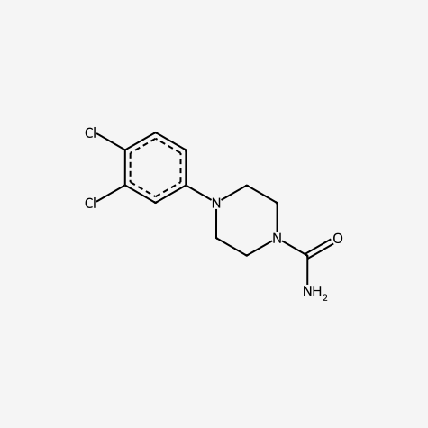 NC(=O)N1CCN(c2ccc(Cl)c(Cl)c2)CC1